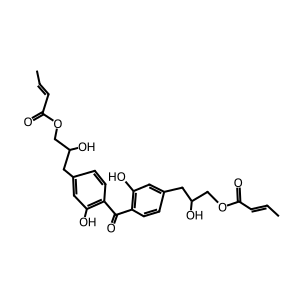 CC=CC(=O)OCC(O)Cc1ccc(C(=O)c2ccc(CC(O)COC(=O)C=CC)cc2O)c(O)c1